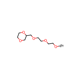 CC(C)OCCOCCOCC1COCCO1